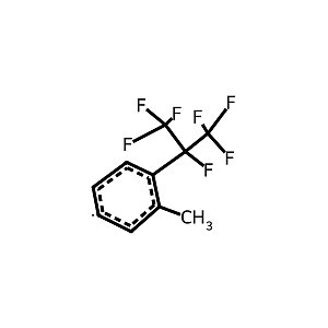 Cc1c[c]ccc1C(F)(C(F)(F)F)C(F)(F)F